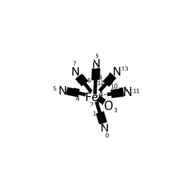 N#[C][Fe-4](=[O])([C]#N)([C]#N)([C]#N)([C]#N)[C]#N